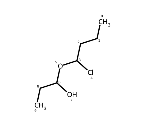 CCCC(Cl)OC(O)CC